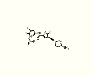 N[C@H]1CC[C@H](C#Cc2cc(C(=O)Nc3cc(F)c(=O)n(CC(F)F)c3)sc2Cl)CC1